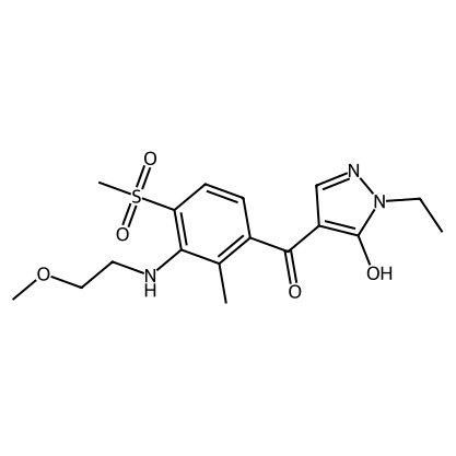 CCn1ncc(C(=O)c2ccc(S(C)(=O)=O)c(NCCOC)c2C)c1O